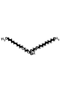 CCCCCCCCCCCCOSCCOP(O)OCCSOCCCCCCCCCCCC